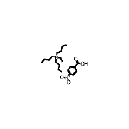 CCCC[N+](CC)(CCCC)CCCC.O=C(O)c1ccc([N+](=O)[O-])cc1